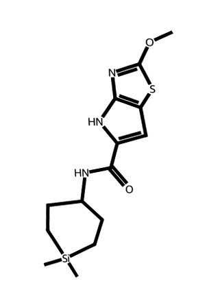 COc1nc2[nH]c(C(=O)NC3CC[Si](C)(C)CC3)cc2s1